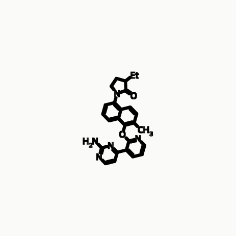 CCC1CCN(c2cccc3c(Oc4ncccc4-c4ccnc(N)n4)c(C)ccc23)C1=O